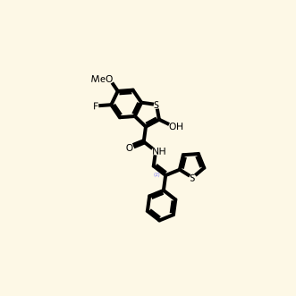 COc1cc2sc(O)c(C(=O)N/C=C(/c3ccccc3)c3cccs3)c2cc1F